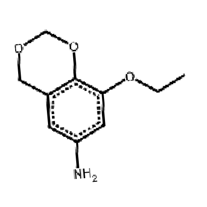 CCOc1cc(N)cc2c1OCOC2